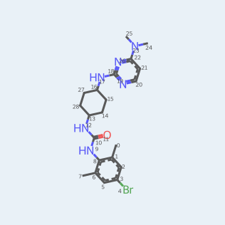 Cc1cc(Br)cc(C)c1NC(=O)NC1CCC(Nc2nccc(N(C)C)n2)CC1